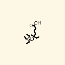 CCC(C)(CCCC(=O)O)O[Si](CC)(CC)CC